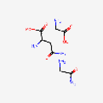 NC(=O)CC(N)C(=O)O.NCC(=O)O.NCC(N)=O